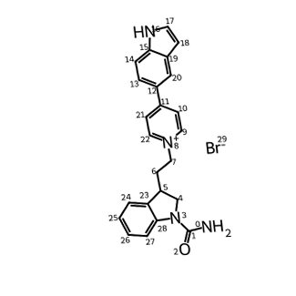 NC(=O)N1CC(CC[n+]2ccc(-c3ccc4[nH]ccc4c3)cc2)c2ccccc21.[Br-]